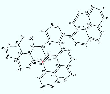 c1cc(-c2ccc3ccc4cccc5ccc2c3c45)c(-c2ccc3ccc4cccc5ccc2c3c45)c(-c2ccc3ccc4cccc5ccc2c3c45)c1